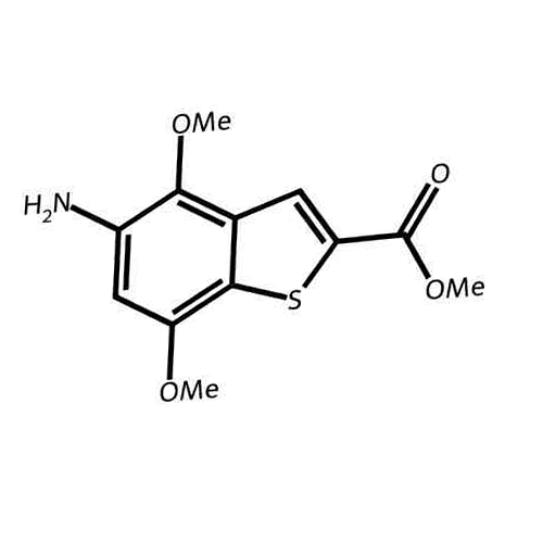 COC(=O)c1cc2c(OC)c(N)cc(OC)c2s1